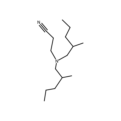 CCCC(C)CN(CCC#N)CC(C)CCC